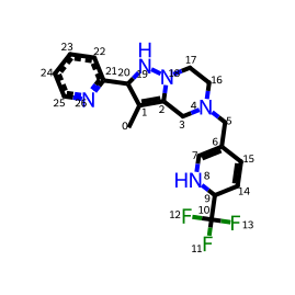 CC1=C2CN(CC3=CNC(C(F)(F)F)C=C3)CCN2NC1c1ccccn1